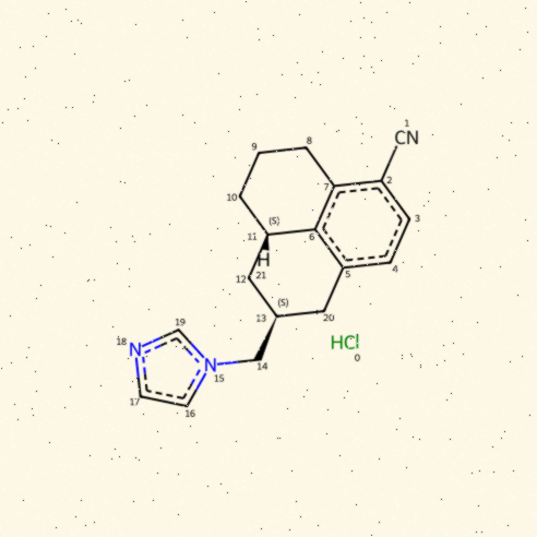 Cl.N#Cc1ccc2c3c1CCC[C@H]3C[C@H](Cn1ccnc1)C2